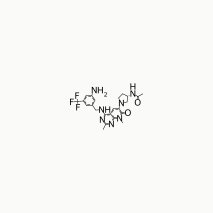 CC(=O)N[C@H]1CCN(c2cc3c(NCc4cc(N)cc(C(F)(F)F)c4)nc(C)nc3n(C)c2=O)C1